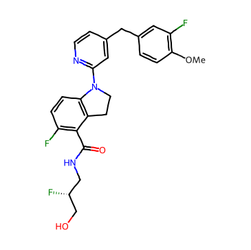 COc1ccc(Cc2ccnc(N3CCc4c3ccc(F)c4C(=O)NC[C@@H](F)CO)c2)cc1F